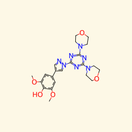 COc1cc(-c2cnn(-c3nc(N4CCOCC4)nc(N4CCOCC4)n3)c2)cc(OC)c1O